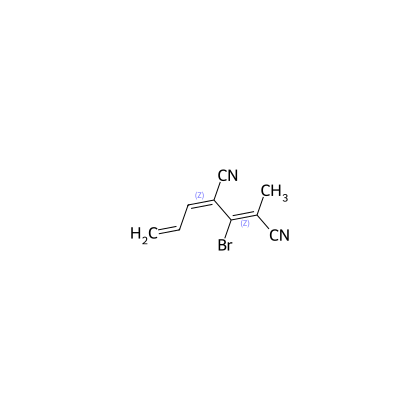 C=C/C=C(C#N)\C(Br)=C(/C)C#N